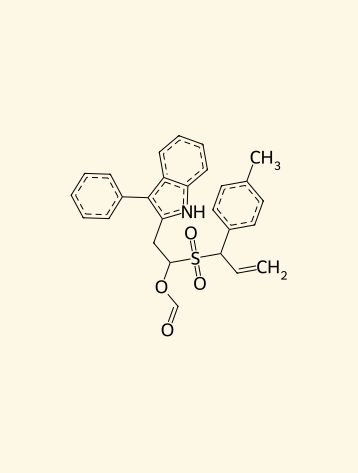 C=CC(c1ccc(C)cc1)S(=O)(=O)C(Cc1[nH]c2ccccc2c1-c1ccccc1)OC=O